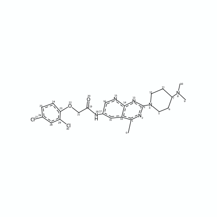 Cc1nc(N2CCC(N(C)C)CC2)nc2ncc(NC(=O)COc3ccc(Cl)cc3Cl)cc12